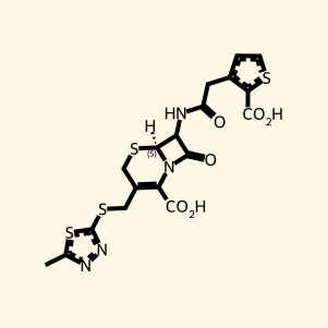 Cc1nnc(SCC2=C(C(=O)O)N3C(=O)C(NC(=O)Cc4ccsc4C(=O)O)[C@@H]3SC2)s1